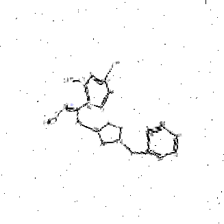 O/N=C(\CC1CCN(Cc2ccccc2)C1)c1ccc(F)cc1F